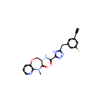 C#Cc1cc(F)cc(Cc2nnc(C(=O)N[C@H]3COc4cccnc4N(C)C3=O)[nH]2)c1